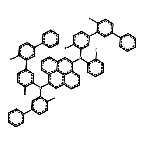 Fc1ccc(-c2ccccc2)cc1-c1ccc(F)c(N(c2ccccc2F)c2cc3cccc4c(N(c5cc(-c6ccccc6)ccc5F)c5cc(-c6cc(-c7ccccc7)ccc6F)ccc5F)cc5cccc2c5c34)c1